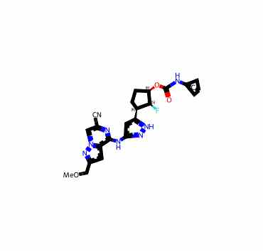 COCc1cc2c(Nc3cc([C@H]4CC[C@@H](OC(=O)NC56CC(C5)C6)[C@H]4F)[nH]n3)nc(C#N)cn2n1